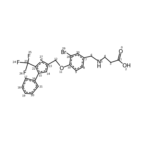 O=C(O)CCNCc1ccc(OCc2cc(-c3ccccc3)c(C(F)(F)F)s2)c(Br)c1